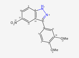 COc1ccc(-c2n[nH]c3ccc([N+](=O)[O-])cc23)cc1OC